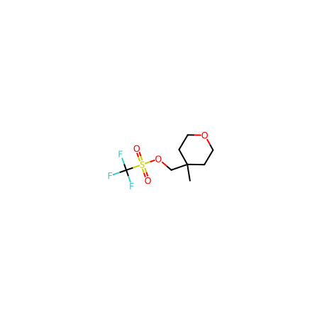 CC1(COS(=O)(=O)C(F)(F)F)CCOCC1